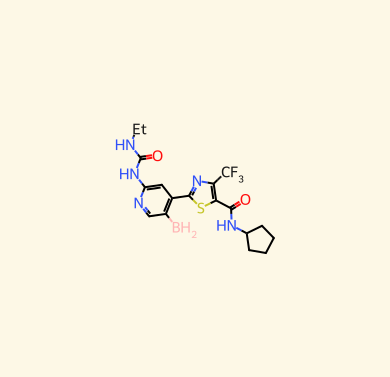 Bc1cnc(NC(=O)NCC)cc1-c1nc(C(F)(F)F)c(C(=O)NC2CCCC2)s1